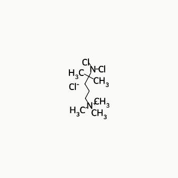 CC(C)(CCC[N+](C)(C)C)N(Cl)Cl.[Cl-]